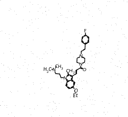 CCOc1ccc2c(c1)c(C=CC(=O)N1CCN(CCc3ccc(F)cc3)CC1)c(C)n2CCCN(C)C